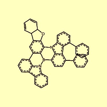 C1=CC2Oc3c(cc4c5c3-n3c6cccc(-c7ccccc7)c6c6c(-c7ccccc7)ccc(c63)B5n3c5ccccc5c5cccc-4c53)C2C=C1